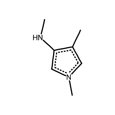 CNc1cn(C)cc1C